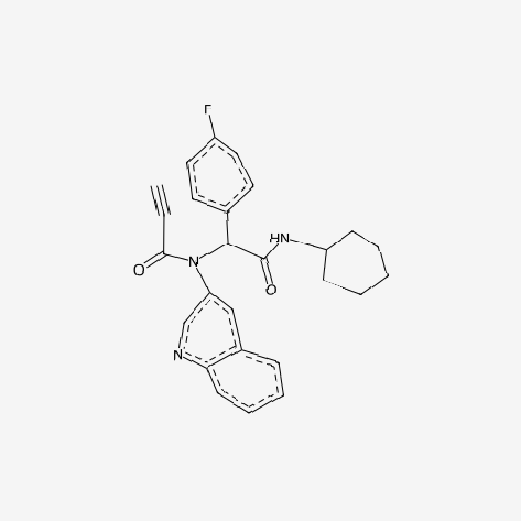 C#CC(=O)N(c1cnc2ccccc2c1)C(C(=O)NC1CCCCC1)c1ccc(F)cc1